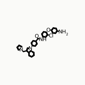 Nc1ccc(Oc2ccc(NC(=O)c3ccc(-n4cc(Cn5cccc5)c5ccccc54)cc3)cc2Cl)cc1